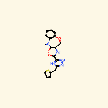 CN1C(=O)C(NC(=O)c2nnc(Cc3cccs3)[nH]2)COc2ccccc21